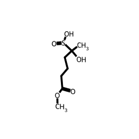 COC(=O)CCCC(C)(O)S(=O)O